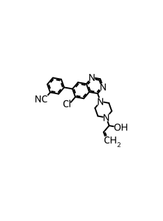 C=CC(O)N1CCN(c2ncnc3cc(-c4cccc(C#N)c4)c(Cl)cc23)CC1